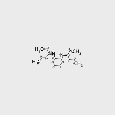 CCCC(CC)=NC1CCCCC1N=C(CC)CCC